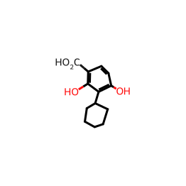 O=C(O)c1ccc(O)c(C2CCCCC2)c1O